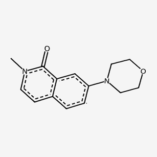 Cn1ccc2c[c]c(N3CCOCC3)cc2c1=O